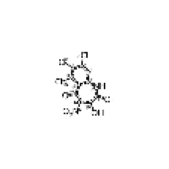 O=c1[nH]c2cc(Cl)c(Cl)c(Cl)c2c(=O)c([N+](=O)[O-])c1O